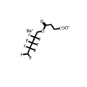 O=C([O-])CCC(=O)OCC(F)(F)C(F)(F)C(F)(F)C(F)F.[Na+]